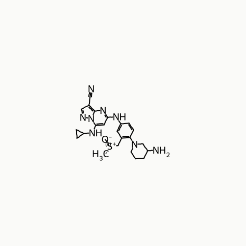 C[S@+]([O-])Cc1cc(Nc2cc(NC3CC3)n3ncc(C#N)c3n2)ccc1N1CCCC(N)C1